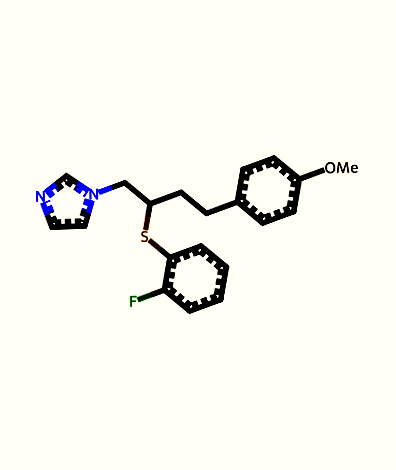 COc1ccc(CCC(Cn2ccnc2)Sc2ccccc2F)cc1